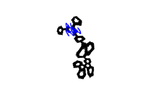 c1ccc(-c2nc(-c3ccccc3)nc(-c3ccc(-c4ccc(-c5ccc6c(c5)C5(c7ccccc7-c7ccccc75)c5ccccc5-6)c5ccccc45)cc3)n2)cc1